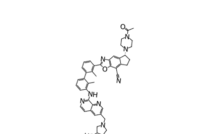 CC(=O)N1CCN([C@@H]2CCc3c2cc2nc(-c4cccc(-c5cccc(Nc6nccc7cc(CN8CC[C@@H](O)C8)cnc67)c5C)c4C)oc2c3C#N)CC1